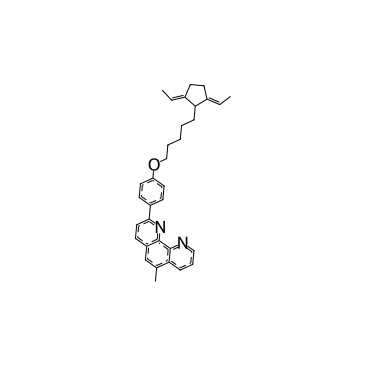 C/C=C1\CC/C(=C\C)C1CCCCCOc1ccc(-c2ccc3cc(C)c4cccnc4c3n2)cc1